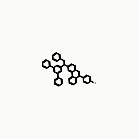 Brc1ccc(-c2cc3ccc(C(Cc4ccccc4)c4cc(-c5ccccc5)cc(-c5ccccc5)c4)cc3c3ccccc23)cc1